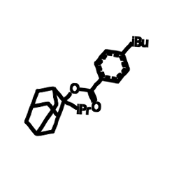 CCC(C)c1ccc(C(=O)OC2(C(C)C)C3CC4CC(C3)CC2C4)cc1